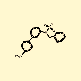 CCS(=O)(=O)N(Cc1cccnc1)c1cccc(-c2ccc(C(=O)O)cc2)c1